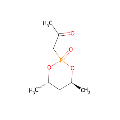 CC(=O)CP1(=O)O[C@@H](C)C[C@H](C)O1